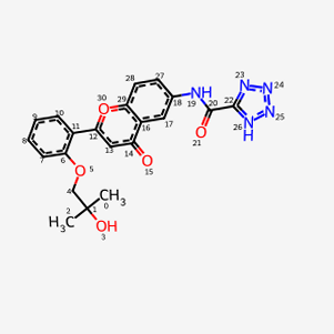 CC(C)(O)COc1ccccc1-c1cc(=O)c2cc(NC(=O)c3nnn[nH]3)ccc2o1